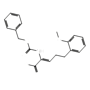 COc1ccccc1CC/C=C(\NC(=O)OCc1ccccc1)C(=O)O